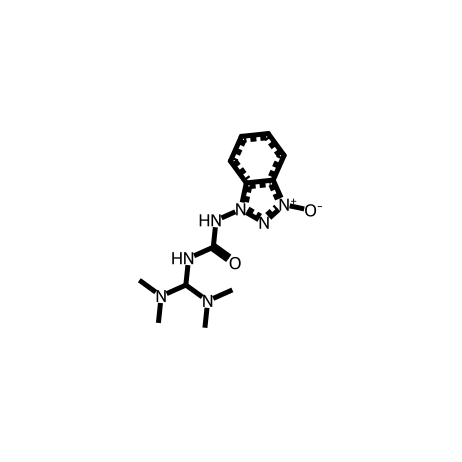 CN(C)C(NC(=O)Nn1n[n+]([O-])c2ccccc21)N(C)C